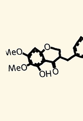 COc1cc2c(c(O)c1OC)C(=O)C(Cc1ccccc1)CO2